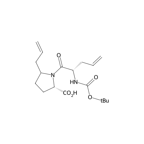 C=CCC1CC[C@@H](C(=O)O)N1C(=O)[C@H](CC=C)NC(=O)OC(C)(C)C